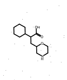 O=C(O)C(CC1CNCCO1)C1CCCCC1